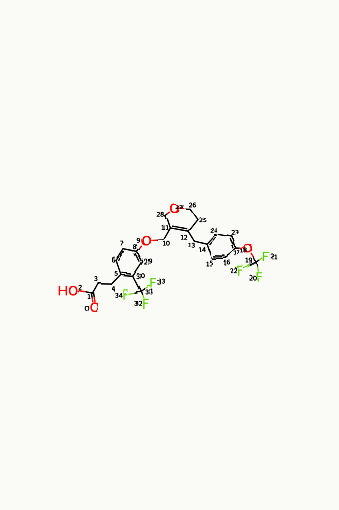 O=C(O)CCc1ccc(OCC2=C(Cc3ccc(OC(F)(F)F)cc3)CCOC2)cc1C(F)(F)F